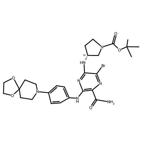 CC(C)(C)OC(=O)N1CC[C@@H](Nc2nc(Nc3ccc(N4CCC5(CC4)OCCO5)cc3)c(C(N)=O)nc2Br)C1